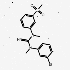 CCc1cccc(N(C)C(=N)N(C)c2cccc(S(C)(=O)=O)c2)c1